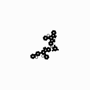 Cc1cc(C)c(N(c2ccc3c(c2)C(C)(C)c2cc(-c4ccc5c(c4)oc4ccccc45)c4oc5ccccc5c4c2-3)c2ccc3c(c2)C(C)(C)c2c4c(c5oc6ccccc6c5c2-3)-c2ccccc2C4(C)C)c(C)c1